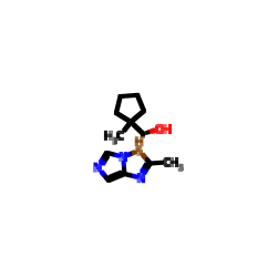 CC1=Nc2cncn2[SH]1[C@H](O)C1(C)CCCC1